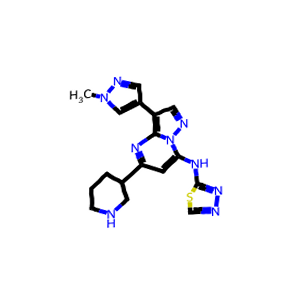 Cn1cc(-c2cnn3c(Nc4nncs4)cc(C4CCCNC4)nc23)cn1